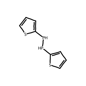 c1csc(PPc2cccs2)c1